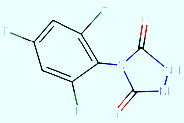 O=c1[nH][nH]c(=O)n1-c1c(F)cc(F)cc1F